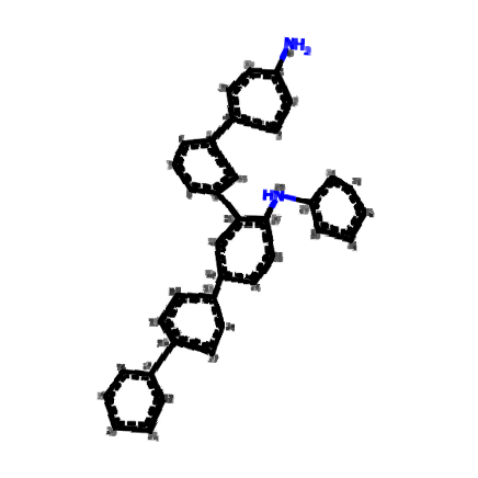 Nc1ccc(-c2cccc(-c3cc(-c4ccc(-c5ccccc5)cc4)ccc3Nc3ccccc3)c2)cc1